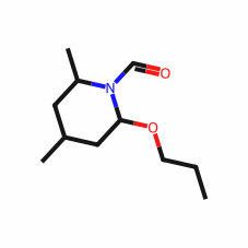 CCCOC1CC(C)CC(C)N1C=O